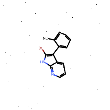 N#Cc1ccccc1-c1c(Br)[nH]c2ncccc12